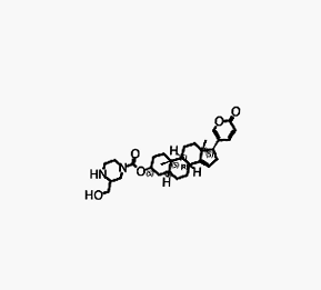 C[C@]12CC[C@H](OC(=O)N3CCNC(CO)C3)C[C@H]1CC[C@H]1C3=CC[C@H](c4ccc(=O)oc4)[C@@]3(C)CC[C@@H]12